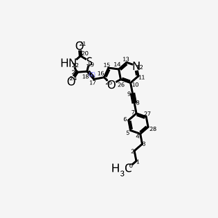 CCCCc1ccc(C#Cc2cncc3cc(/C=C4\SC(=O)NC4=O)oc23)cc1